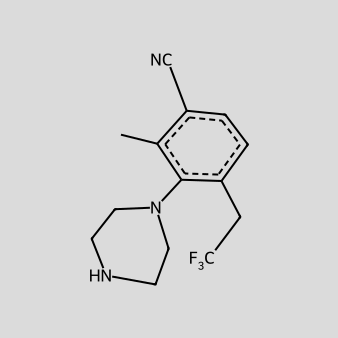 Cc1c(C#N)ccc(CC(F)(F)F)c1N1CCNCC1